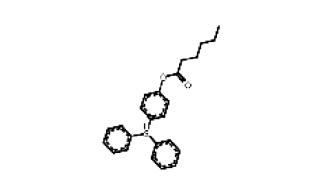 CCCCCC(=O)Oc1ccc([SH](c2ccccc2)c2ccccc2)cc1